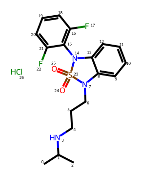 CC(C)NCCCN1c2ccccc2N(c2c(F)cccc2F)S1(=O)=O.Cl